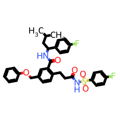 CC(C)CC(NC(=O)c1cc(COc2ccccc2)ccc1CCC(=O)NS(=O)(=O)c1ccc(F)cc1)c1ccc(F)cc1